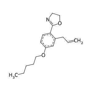 C=CCc1cc(OCCCCC)ccc1C1=NCCO1